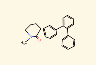 CN1CCCCC1=O.c1ccc(-c2ccccc2-c2ccccc2)cc1